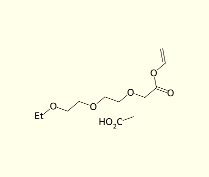 C=COC(=O)COCCOCCOCC.CC(=O)O